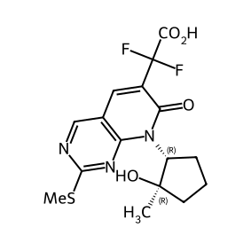 CSc1ncc2cc(C(F)(F)C(=O)O)c(=O)n([C@@H]3CCC[C@@]3(C)O)c2n1